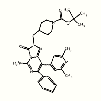 Cc1cc(-c2c(-c3ccccc3)nc(N)n3c(=O)n(CC4CCN(C(=O)OC(C)(C)C)CC4)nc23)cc(C)n1